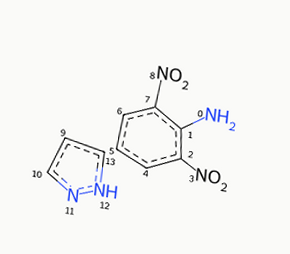 Nc1c([N+](=O)[O-])cccc1[N+](=O)[O-].c1cn[nH]c1